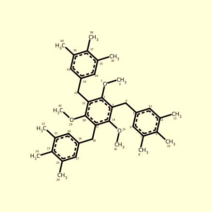 COc1c(Cc2cc(C)c(C)c(C)c2)c(OC)c(Cc2cc(C)c(C)c(C)c2)c(OC)c1Cc1cc(C)c(C)c(C)c1